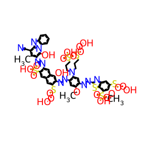 COc1cc(N=Nc2c(SOOO)cc3cc(S(=O)(=O)O)c(N=Nc4c(C)c(C#N)c5nc6ccccc6n5c4O)cc3c2O)c(N(CCCSOOO)CCCS(=O)(=O)O)cc1N=Nc1nc2cc(SOOO)c(OC)c(S(=O)(=O)O)c2s1